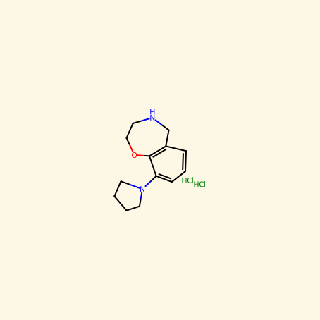 Cl.Cl.c1cc2c(c(N3CCCC3)c1)OCCNC2